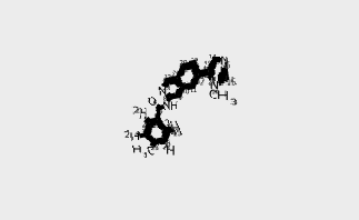 [2H]c1c([2H])c(C(=O)Nc2cc3cc(-c4cncn4C)ccc3cn2)c([2H])c([2H])c1C